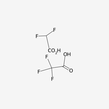 O=C(O)C(F)(F)F.O=C(O)C(F)F